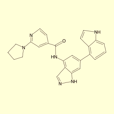 O=C(Nc1cc(-c2cccc3[nH]ccc23)cc2[nH]ncc12)c1ccnc(N2CCCC2)c1